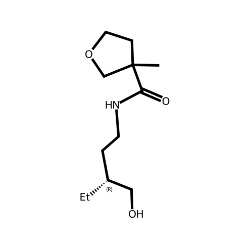 CC[C@@H](CO)CCNC(=O)C1(C)CCOC1